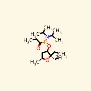 [2H]C[C@]1(CC)O[C@@H](C)CC1OP(C(=O)CC)N(C(C)C)C(C)C